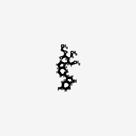 C=C[C@H]([C@@H](C=C)C(=O)OCC)n1ccc2ccc(-c3c[nH]c4ncc(F)cc34)nc21